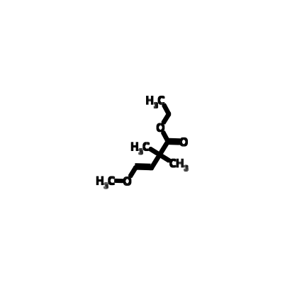 CCOC(=O)C(C)(C)/C=C/OC